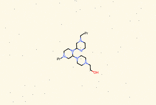 CC(C)CN1CC[N]C(N2CCN(C(C)C)CC2N2CCN(CCO)CC2)C1